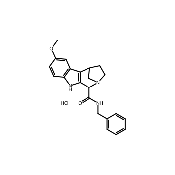 COc1ccc2[nH]c3c(c2c1)C1CCN(C1)C3C(=O)NCc1ccccc1.Cl